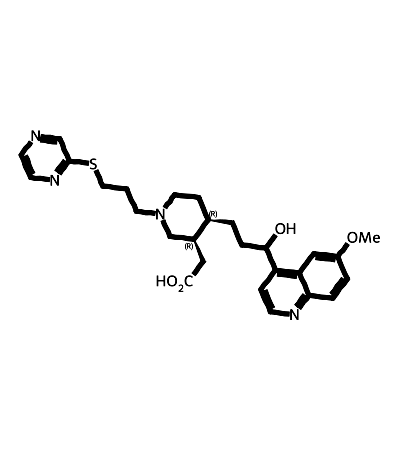 COc1ccc2nccc(C(O)CC[C@@H]3CCN(CCCSc4cnccn4)C[C@@H]3CC(=O)O)c2c1